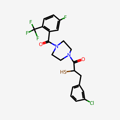 O=C(c1cc(F)ccc1C(F)(F)F)N1CCN(C(=O)C(S)Cc2cccc(Cl)c2)CC1